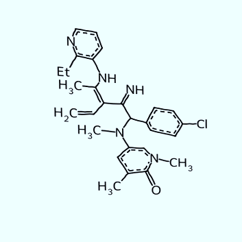 C=C/C(C(=N)C(c1ccc(Cl)cc1)N(C)c1cc(C)c(=O)n(C)c1)=C(\C)Nc1cccnc1CC